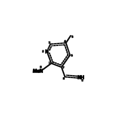 CNc1ncc(C)cc1C=N